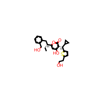 CC[C@H](Cc1ccccc1CO)c1cc(O)c([C@@H](c2ccc(CCO)s2)C2CC2)c(=O)o1